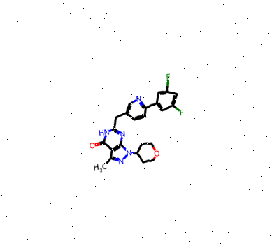 Cc1nn(C2CCOCC2)c2nc(Cc3ccc(-c4cc(F)cc(F)c4)nc3)[nH]c(=O)c12